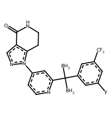 BC(B)(c1cc(F)cc(C(F)(F)F)c1)c1cc(-n2ncc3c2CCNC3=O)ccn1